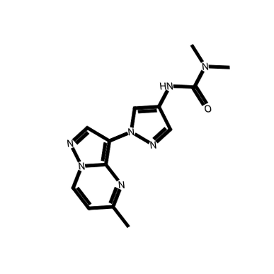 Cc1ccn2ncc(-n3cc(NC(=O)N(C)C)cn3)c2n1